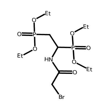 CCOP(=O)(CC(NC(=O)CBr)P(=O)(OCC)OCC)OCC